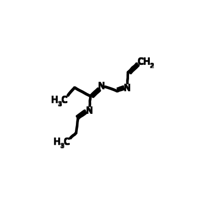 C=C\N=C/N=C(CC)\N=C\CC